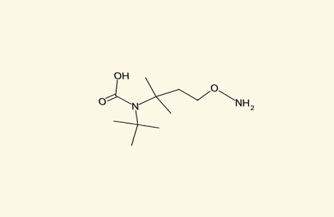 CC(C)(C)N(C(=O)O)C(C)(C)CCON